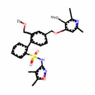 CCOCc1cc(COc2cc(C)nc(C)c2OC)ccc1-c1ccccc1S(=O)(=O)Nc1noc(C)c1C